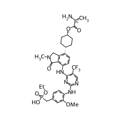 CCOP(=O)(O)Cc1ccc(Nc2ncc(C(F)(F)F)c(Nc3ccc([C@H]4CC[C@H](OC(=O)[C@H](C)N)CC4)c4c3C(=O)N(C)C4)n2)c(OC)c1